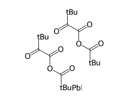 CC(C)(C)C(=O)OC(=O)C(=O)C(C)(C)C.CC(C)(C)C(=O)OC(=O)C(=O)C(C)(C)C.[Pb]